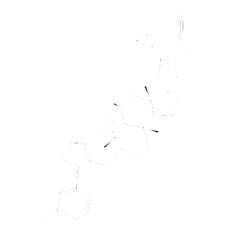 Cc1cc(-n2ncc3c2C=C2CC[C@@H]4[C@H]([C@@H](O)C[C@@]5(C)[C@H]4CC[C@]5(OC(=O)C4CC4)C(C)OCC#N)[C@@]2(C)C3)ccn1